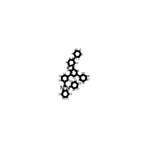 c1ccc(-c2ccc3sc4c(-c5cccc(-c6nc7ccccc7n6-c6ccccc6)c5)cc(-c5ccccc5)cc4c3c2)cc1